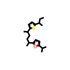 CCC(C)c1ccc(C(C)CCC(C)c2ccc(C(C)C)o2)s1